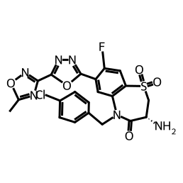 Cc1nc(-c2nnc(-c3cc4c(cc3F)S(=O)(=O)C[C@H](N)C(=O)N4Cc3ccc(Cl)cc3)o2)no1